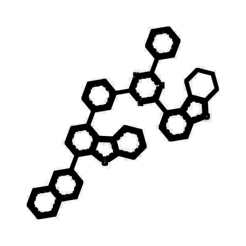 c1ccc(-c2nc(-c3cccc(-c4ccc(-c5ccc6ccccc6c5)c5oc6ccccc6c45)c3)nc(-c3cccc4oc5c(c34)CCCC5)n2)cc1